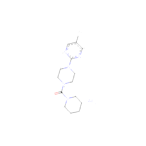 N[C@@H]1CCCN(C(=O)N2CCN(c3ncc(C(F)(F)F)cn3)CC2)C1